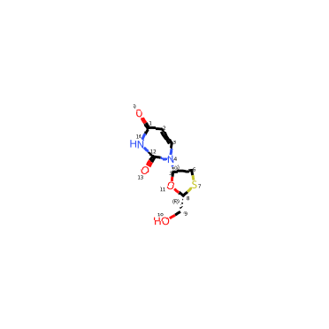 O=c1ccn([C@@H]2CS[C@H](CO)O2)c(=O)[nH]1